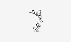 CCc1cccc(Cn2c3c(c4cccnc42)CCN(C(=O)Cc2ccc(OC(=O)O)nc2)C3)c1